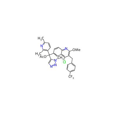 COc1nc2ccc(C(OC(C)=O)(c3ccc(C)nc3C)c3cnnn3C)cc2c(Cl)c1Cc1ccc(C(F)(F)F)cc1